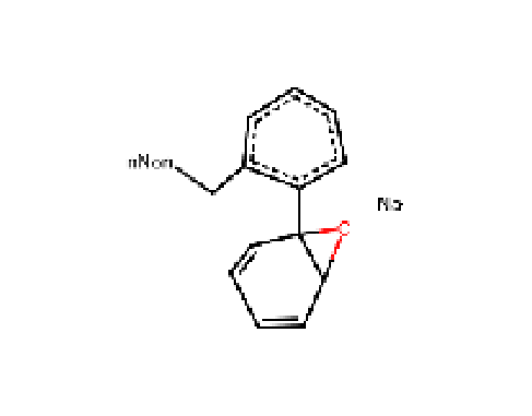 CCCCCCCCCCc1ccccc1C12C=CC=CC1O2.[Na]